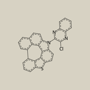 Clc1nc2ccccc2nc1-n1c2ccc3cccc4c3c2c2c3c(ccc21)sc1cccc-4c13